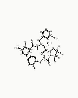 Cc1ccccc1CNC(=O)[C@H]1N(C(=O)[C@@H](O)[C@H](Cc2cccc(F)c2)NC(=O)c2cccc(O)c2C)CC(F)(F)C1(C)C